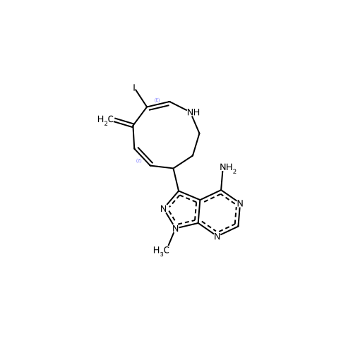 C=C1/C=C\C(c2nn(C)c3ncnc(N)c23)CCN/C=C\1I